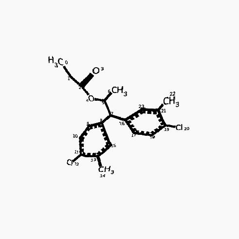 CCC(=O)OC(C)C(c1ccc(Cl)c(C)c1)c1ccc(Cl)c(C)c1